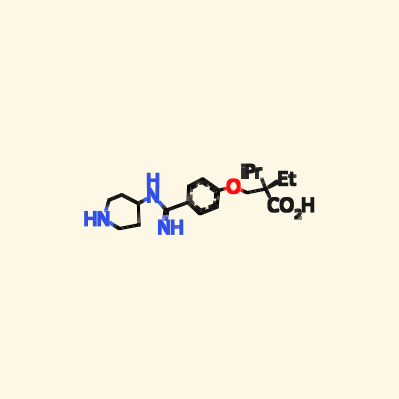 CC[C@](COc1ccc(C(=N)NC2CCNCC2)cc1)(C(=O)O)C(C)C